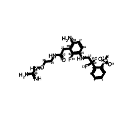 CS(=O)(=O)c1ccccc1C(F)(F)CNc1ccc(N)c(CC(=O)NCCONC(=N)N)c1F